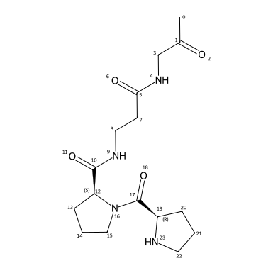 CC(=O)CNC(=O)CCNC(=O)[C@@H]1CCCN1C(=O)[C@H]1CCCN1